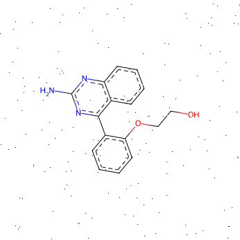 Nc1nc(-c2ccccc2OCCO)c2ccccc2n1